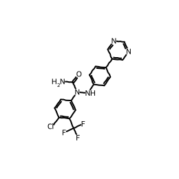 NC(=O)N(Nc1ccc(-c2cncnc2)cc1)c1ccc(Cl)c(C(F)(F)F)c1